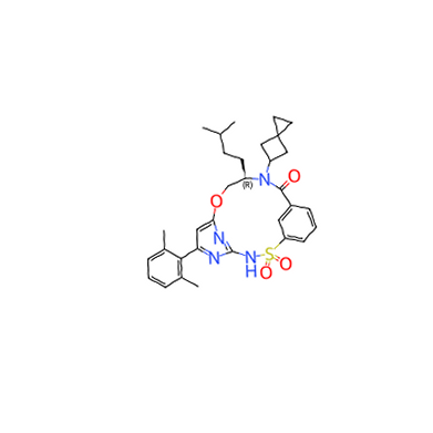 Cc1cccc(C)c1-c1cc2nc(n1)NS(=O)(=O)c1cccc(c1)C(=O)N(C1CC3(CC3)C1)[C@H](CCC(C)C)CO2